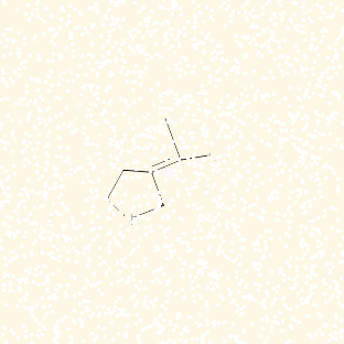 C/C(=C1\CCNC1)C(F)(F)F